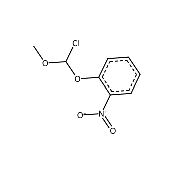 COC(Cl)Oc1ccccc1[N+](=O)[O-]